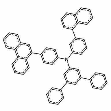 c1ccc(-c2cc(-c3ccccc3)cc(N(c3ccc(-c4cc5ccccc5c5ccccc45)cc3)c3cccc(-c4cccc5ccccc45)c3)c2)cc1